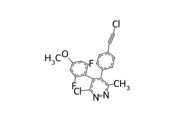 COc1cc(F)c(-c2c(Cl)nnc(C)c2-c2ccc(C#CCl)cc2)c(F)c1